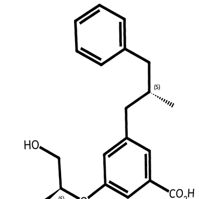 C[C@@H](Cc1ccccc1)Cc1cc(O[C@@H](C)CO)cc(C(=O)O)c1